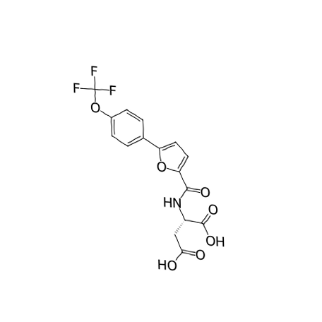 O=C(O)C[C@H](NC(=O)c1ccc(-c2ccc(OC(F)(F)F)cc2)o1)C(=O)O